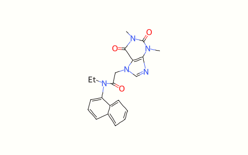 CCN(C(=O)Cn1cnc2c1c(=O)n(C)c(=O)n2C)c1cccc2ccccc12